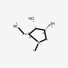 CN1C[C@@H](S)C[C@H]1CC#N.Cl